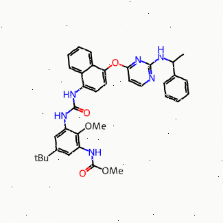 COC(=O)Nc1cc(C(C)(C)C)cc(NC(=O)Nc2ccc(Oc3ccnc(NC(C)c4ccccc4)n3)c3ccccc23)c1OC